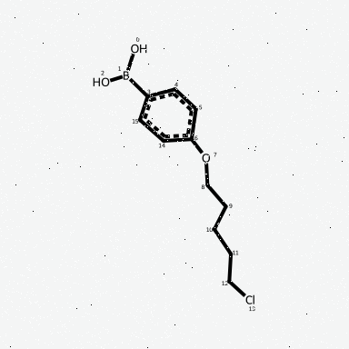 OB(O)c1ccc(OCCCCCCl)cc1